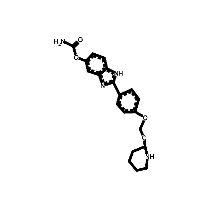 NC(=O)Oc1ccc2[nH]c(-c3ccc(OCCC4CCCCN4)cc3)nc2c1